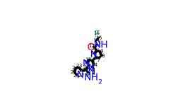 Nc1nn2cc(-c3cccc(C(=O)NCCF)n3)cnc2c1-c1ccccn1